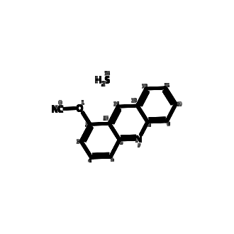 N#COc1cccc2nc3ccccc3cc12.S